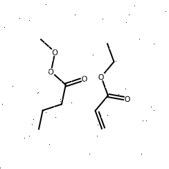 C=CC(=O)OCC.CCCC(=O)OOC